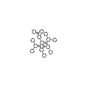 c1ccc(-c2cc(-c3ccccc3)cc(N3c4ccc(-c5ccccc5)cc4B4c5cc(-c6ccccc6)ccc5N(c5cc(-c6ccccc6)cc(-c6ccccc6)c5)c5cc(-c6ccc7c(c6)c6ccccc6n7-c6ccccc6)cc3c54)c2)cc1